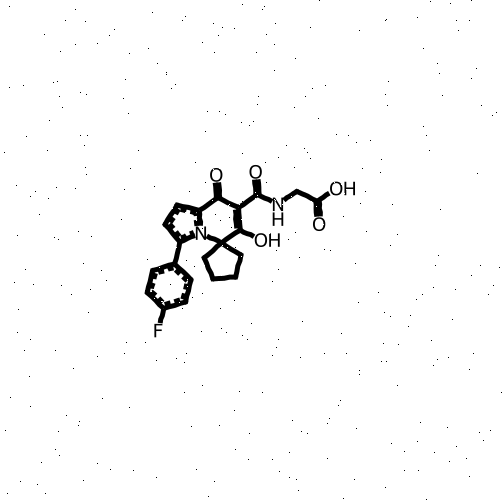 O=C(O)CNC(=O)C1=C(O)C2(CCCC2)n2c(ccc2-c2ccc(F)cc2)C1=O